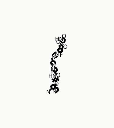 CC1(C)[C@H](NC(=O)c2ccc(N3CCC(CN4CCN(c5cc6c(cc5F)C(=O)N([C@H]5CCC(=O)NC5=O)C6)CC4)CC3)nn2)C(C)(C)[C@H]1Oc1ccc(C#N)c2ncccc12